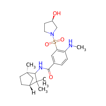 CNc1ccc(C(=O)NC2C(C)(C)[C@@H]3CC[C@]2(C)C3)cc1S(=O)(=O)N1CC[C@@H](O)C1